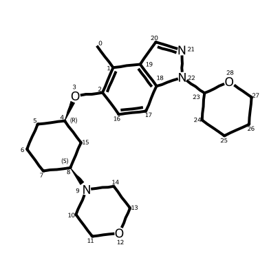 Cc1c(O[C@@H]2CCC[C@H](N3CCOCC3)C2)ccc2c1cnn2C1CCCCO1